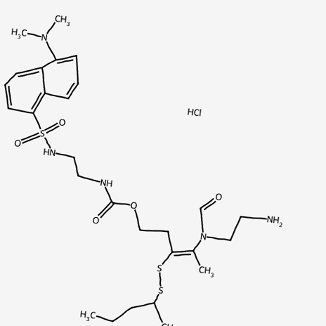 CCCC(C)SSC(CCOC(=O)NCCNS(=O)(=O)c1cccc2c(N(C)C)cccc12)=C(C)N(C=O)CCN.Cl